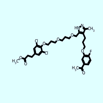 COC(=O)CCc1cc(Cl)c(OCCCOCCCOCc2[nH]nc(C)c2CCCOc2cc(C(C)=O)ccc2F)c(Cl)c1